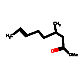 CC=CCCC(C)CC(=O)OC